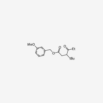 CCC(=O)C(CC(=O)OCc1cccc(OC)c1)C(C)(C)C